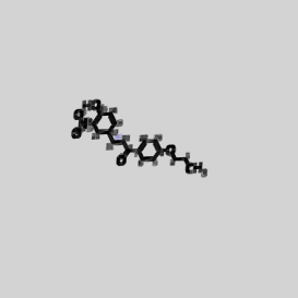 CCCOc1ccc(C(=O)/C=C/c2ccc(O)c([N+](=O)[O-])c2)cc1